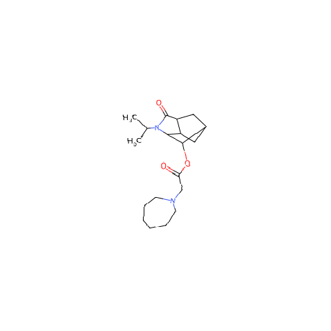 CC(C)N1C(=O)C2CC3CC2C1C3OC(=O)CN1CCCCCC1